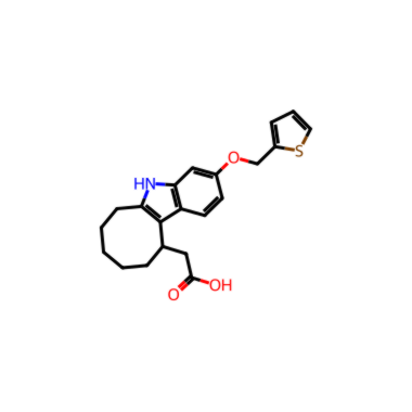 O=C(O)CC1CCCCCc2[nH]c3cc(OCc4cccs4)ccc3c21